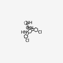 Clc1ccc2[nH]c3c(OC[C@H]4CCCN4)c4[nH]c5ccc(Cl)cc5c4cc3c2c1